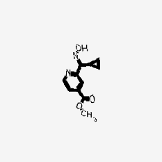 COC(=O)c1ccnc(/C(=N/O)C2CC2)c1